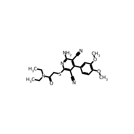 CCN(CC)C(=O)CSc1nc(N)c(C#N)c(-c2ccc(OC)c(OC)c2)c1C#N